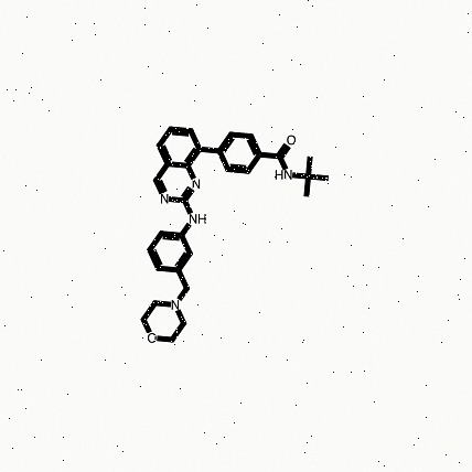 CC(C)(C)NC(=O)c1ccc(-c2cccc3cnc(Nc4cccc(CN5CCOCC5)c4)nc23)cc1